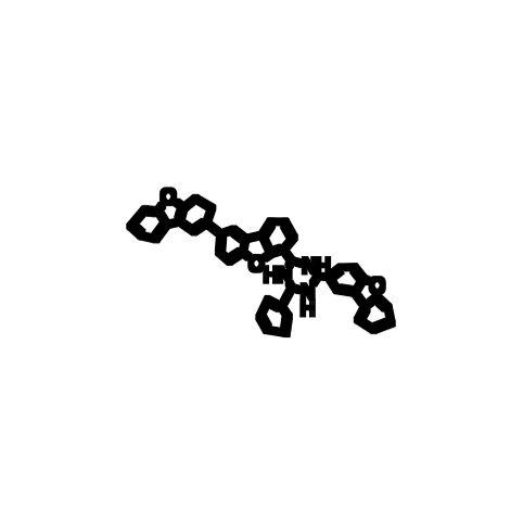 C1=C(c2ccc3oc4c(C5NC(c6ccccc6)NC(c6ccc7oc8ccccc8c7c6)N5)cccc4c3c2)CCc2oc3ccccc3c21